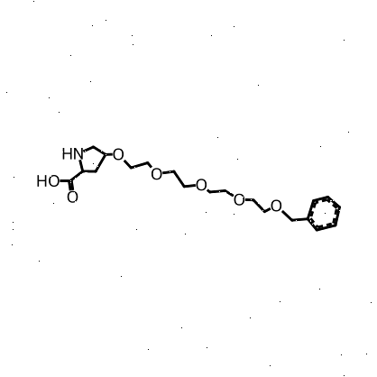 O=C(O)C1CC(OCCOCCOCCOCCOCc2ccccc2)CN1